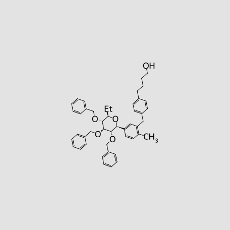 CC[C@H]1O[C@@H](c2ccc(C)c(Cc3ccc(CCCCO)cc3)c2)[C@H](OCc2ccccc2)[C@@H](OCc2ccccc2)[C@@H]1OCc1ccccc1